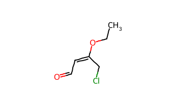 CCOC(=CC=O)CCl